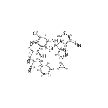 BC(Nc1cc(Cl)c2ncc(C#N)c(N[C@@H](CC#N)c3ccccc3)c2c1)(c1cccc(C#N)c1)c1cn(C2CC2)nn1